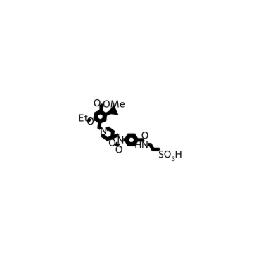 CCOc1cc(C(=O)OC)c(C2CC2)cc1CN1CCC2(CC1)CN(c1ccc(C(=O)NCCCS(=O)(=O)O)cc1)C(=O)O2